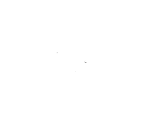 C=C(C)C(=O)OC(C)(C)CS(=O)(=O)O